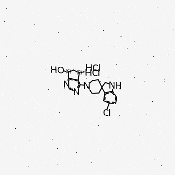 C[C@@H]1C[C@H](O)c2ncnc(N3CCC4(CC3)CNc3ccc(Cl)cc34)c21.Cl.Cl